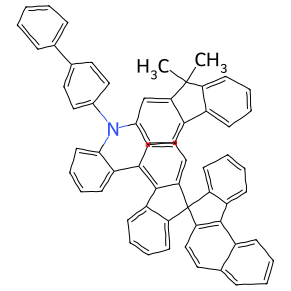 CC1(C)c2ccccc2-c2ccc(N(c3ccc(-c4ccccc4)cc3)c3ccccc3-c3cccc4c3-c3ccccc3C43c4ccccc4-c4c3ccc3ccccc43)cc21